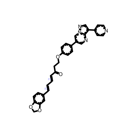 O=C(/C=C/C=C/c1ccc2c(c1)OCO2)CCOc1ccc(-c2cnc3c(-c4ccncc4)cnn3c2)cc1